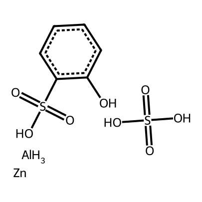 O=S(=O)(O)O.O=S(=O)(O)c1ccccc1O.[AlH3].[Zn]